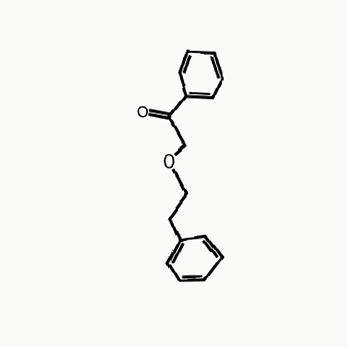 O=C(COCCc1ccccc1)c1ccccc1